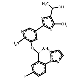 Cc1nc(-c2cnc(N)c(O[C@H](C)c3cc(F)ccc3-n3nccn3)c2)sc1C(C)O